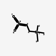 C[Si](C)(C)CC=S(=O)=O